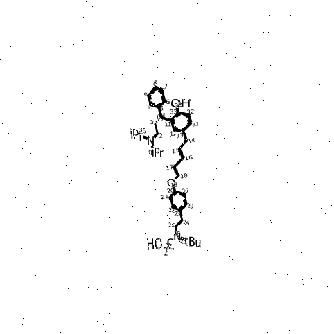 CC(C)N(CC[C@H](c1ccccc1)c1cc(CCCCCOc2ccc(CCN(C(=O)O)C(C)(C)C)cc2)ccc1O)C(C)C